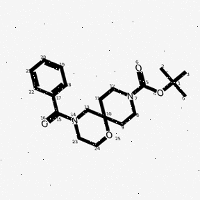 CC(C)(C)OC(=O)N1CCC2(CC1)CN(C(=O)c1ccccc1)CCO2